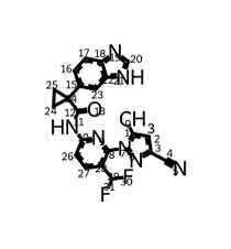 Cc1cc(C#N)nn1-c1nc(NC(=O)C2(c3ccc4nc[nH]c4c3)CC2)ccc1C(F)F